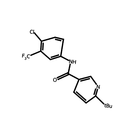 CC(C)(C)c1ccc(C(=O)Nc2ccc(Cl)c(C(F)(F)F)c2)cn1